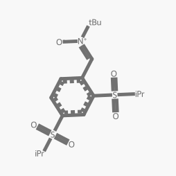 CC(C)S(=O)(=O)c1ccc(C=[N+]([O-])C(C)(C)C)c(S(=O)(=O)C(C)C)c1